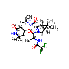 [2H]C1([2H])CC[C@@H](C[C@@H](C#N)NC(=O)[C@@H]2[C@@H]3[C@H](CN2C(=O)[C@@H](NC(=O)C(F)F)C(C)(C)C)C3(C)C)C(=O)N1